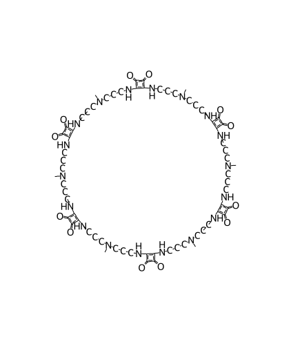 CN1CCCNc2c(c(=O)c2=O)NCCCN(C)CCCNc2c(c(=O)c2=O)NCCCN(C)CCCNc2c(c(=O)c2=O)NCCCN(C)CCCNc2c(c(=O)c2=O)NCCCN(C)CCCNc2c(c(=O)c2=O)NCCCN(C)CCCNc2c(c(=O)c2=O)NCCC1